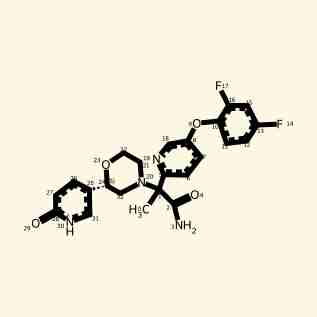 CC(C(N)=O)(c1ccc(Oc2ccc(F)cc2F)cn1)N1CCO[C@@H](c2ccc(=O)[nH]c2)C1